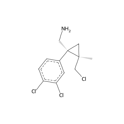 C[C@@]1(CCl)C[C@]1(CN)c1ccc(Cl)c(Cl)c1